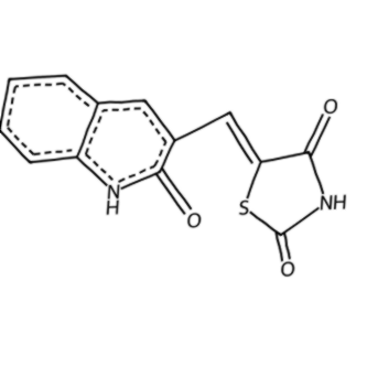 O=C1NC(=O)C(=Cc2cc3ccccc3[nH]c2=O)S1